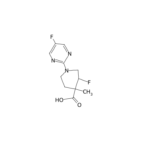 CC1(C(=O)O)CCN(c2ncc(F)cn2)CC1F